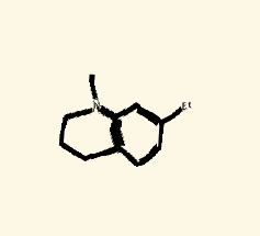 CCc1ccc2c(c1)N(C)CCC2